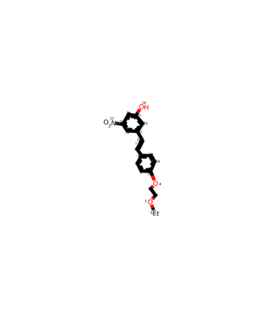 CCOCCOc1ccc(/C=C/c2cc(O)cc([N+](=O)[O-])c2)cc1